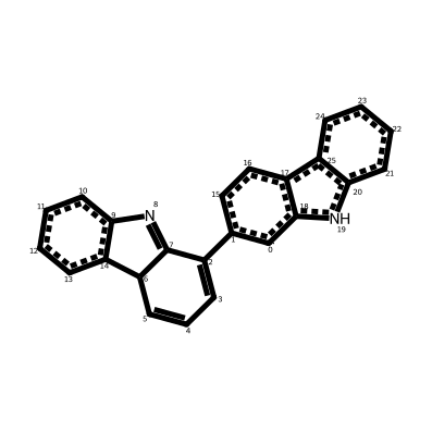 [c]1c(C2=CC=CC3C2=Nc2ccccc23)ccc2c1[nH]c1ccccc12